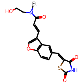 CCN(CCO)C(=O)/C=C/c1coc2ccc(/C=C3\SC(=O)NC3=O)cc12